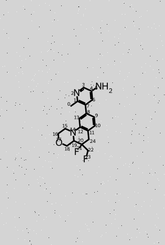 Cc1ncc(N)cc1-c1ccc2c(c1)N1CCOCC1C(F)(CF)C2